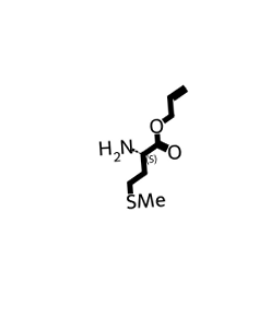 C=CCOC(=O)[C@@H](N)CCSC